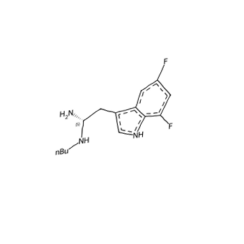 CCCCN[C@H](N)Cc1c[nH]c2c(F)cc(F)cc12